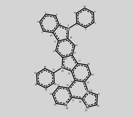 c1ccc(-n2c3ccccc3c3cc4c(cc32)c2ccc3c(c5cccnc5c5nccn35)c2n4-c2ccccc2)cc1